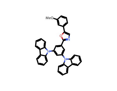 COc1cccc(-c2cnc(-c3cc(-n4c5ccccc5c5ccccc54)cc(-n4c5ccccc5c5ccccc54)c3)o2)c1